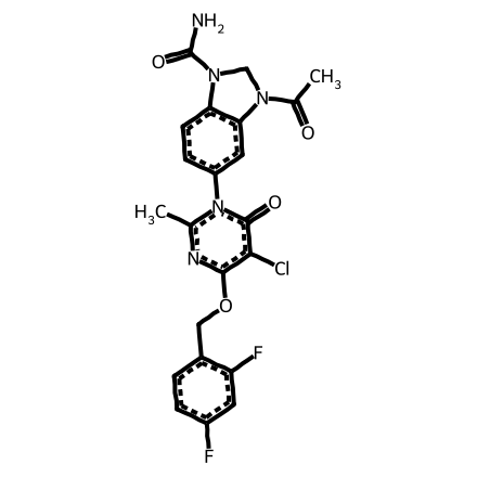 CC(=O)N1CN(C(N)=O)c2ccc(-n3c(C)nc(OCc4ccc(F)cc4F)c(Cl)c3=O)cc21